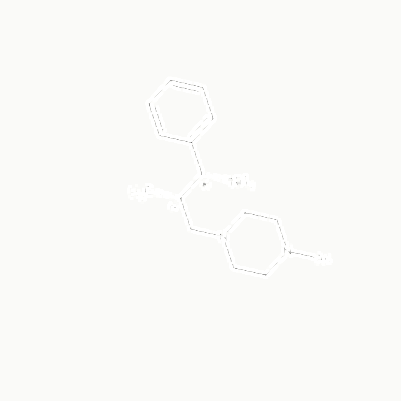 CC(=O)N1CCN(C[C@H](C)[C@@H](N)c2ccccc2)CC1